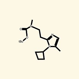 Cc1cnc(CCN(C)C(=O)OC(C)(C)C)n1C1CCC1